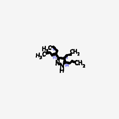 C=C/C=c1/c(C(/C=C\C)=C/C=C)n[nH]/c1=C/C=C